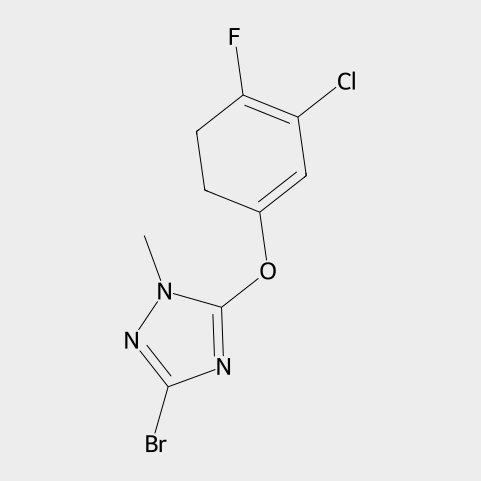 Cn1nc(Br)nc1OC1=CC(Cl)=C(F)CC1